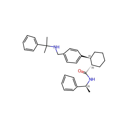 C[C@H](NC(=O)[C@H]1CCCC[C@@H]1c1ccc(CNC(C)(C)c2ccccc2)cc1)c1ccccc1